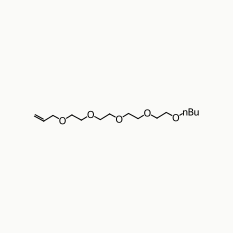 C=CCOCCOCCOCCOCCOCCCC